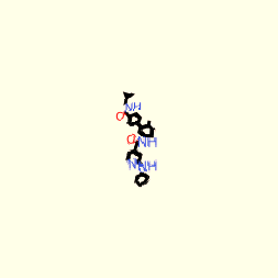 Cc1ccc(NC(=O)c2ccnc(NC3CCCCC3)c2)cc1-c1ccc(C(=O)NCC2CC2)cc1